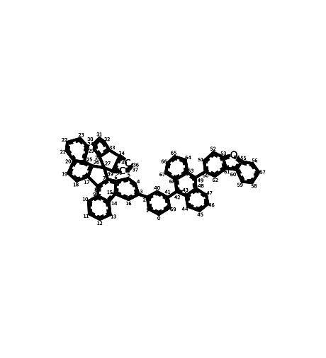 c1cc(-c2ccc3c4c(c5ccccc5c3c2)-c2ccc3ccccc3c2C42c3ccccc3-c3ccccc32)cc(-c2c3ccccc3c(-c3ccc4oc5ccccc5c4c3)c3ccccc23)c1